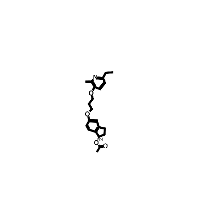 CCc1ccc(OCCCOc2ccc3c(c2)CC[C@@H]3OC(C)=O)c(C)n1